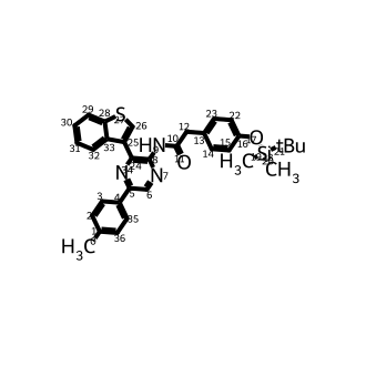 Cc1ccc(-c2cnc(NC(=O)Cc3ccc(O[Si](C)(C)C(C)(C)C)cc3)c(-c3csc4ccccc34)n2)cc1